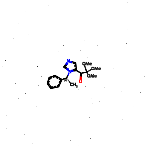 COC(OC)(OC)C(=O)c1cncn1[C@H](C)c1ccccc1